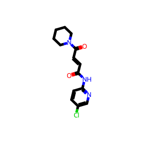 O=C(C=CC(=O)N1CCCCC1)Nc1ccc(Cl)cn1